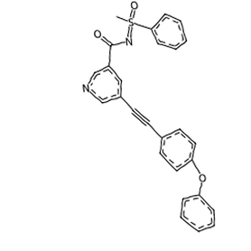 CS(=O)(=NC(=O)c1cncc(C#Cc2ccc(Oc3ccccc3)cc2)c1)c1ccccc1